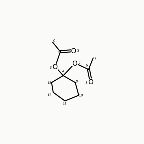 CC(=O)OC1(OC(C)=O)CCCCC1